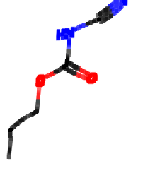 CCCOC(=O)NC#N